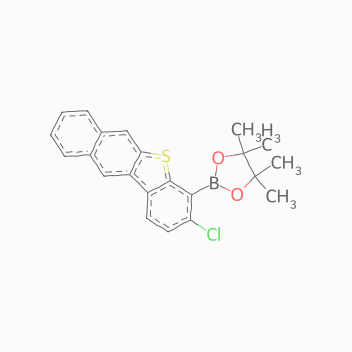 CC1(C)OB(c2c(Cl)ccc3c2sc2cc4ccccc4cc23)OC1(C)C